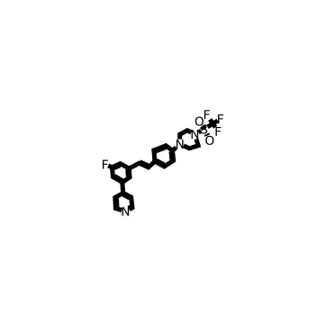 O=S(=O)(N1CCN(c2ccc(C=Cc3cc(F)cc(-c4ccncc4)c3)cc2)CC1)C(F)(F)F